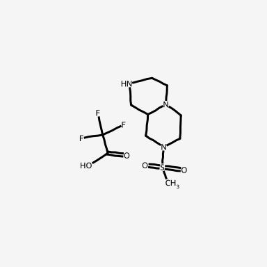 CS(=O)(=O)N1CCN2CCNCC2C1.O=C(O)C(F)(F)F